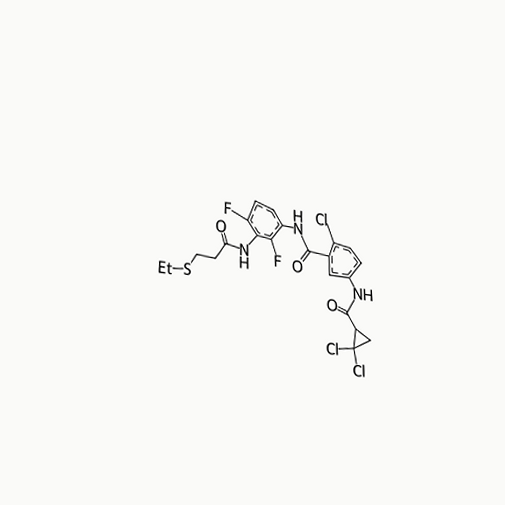 CCSCCC(=O)Nc1c(F)ccc(NC(=O)c2cc(NC(=O)C3CC3(Cl)Cl)ccc2Cl)c1F